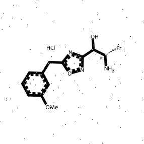 COc1cccc(Cc2nc(C(O)[C@@H](N)C(C)C)no2)c1.Cl